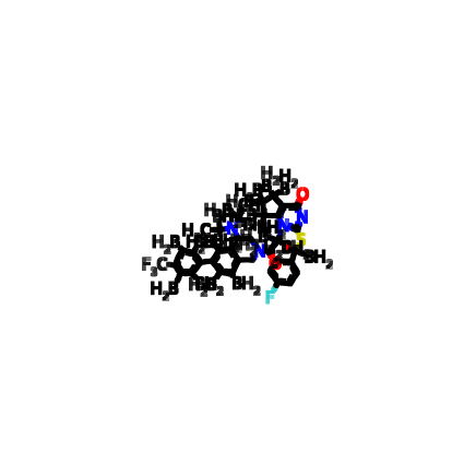 Bc1c(B)c(-c2c(B)c(B)c(C(F)(F)F)c(B)c2B)c(B)c(B)c1CN(CCN(C(B)(B)C)C(B)(B)C)C(=O)C(B)(B)n1c(SC(B)(B)c2ccc(F)cc2)nc(=O)c2c1C(B)(B)C(B)(B)C2(B)B